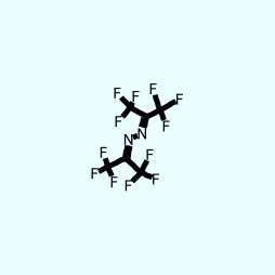 FC(F)(F)C(=NN=C(C(F)(F)F)C(F)(F)F)C(F)(F)F